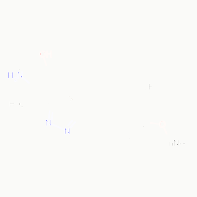 CCCCCCCCCOc1ccc(-c2nnc([C@@](C)(N)CO)s2)cc1C(F)(F)F